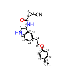 N#C[C@@H]1CC1C(=O)Nc1c[nH]c2ccc(CCOc3ccc(C(F)(F)F)cc3)cc12